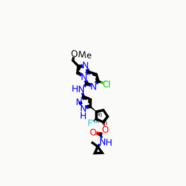 COCc1cn2c(Nc3cc([C@H]4CC[C@@H](OC(=O)NC5(C)CC5)[C@H]4F)[nH]n3)nc(Cl)cc2n1